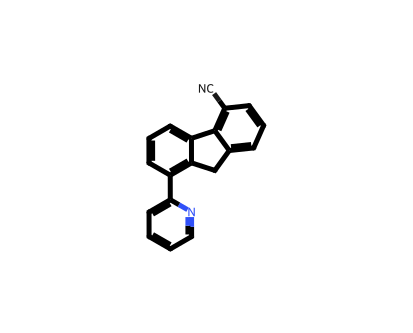 N#Cc1cccc2c1-c1cccc(-c3ccccn3)c1C2